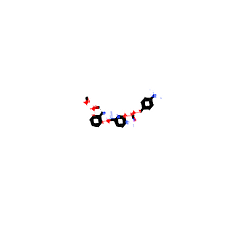 CC(=O)OC(=O)C[C@H](NC(=O)c1ccc2c(c1)OC(OCc1ccc(C(=N)N)cc1)C(=O)N2C)c1ccccc1